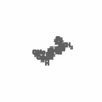 COCCO[C@H]1C[C@H](Nc2ncc3c(-c4cnc5nc(C)n(C6CCOCC6)c5c4)ccn3n2)C1